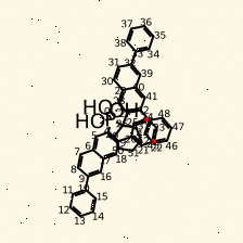 OP(O)(O)(c1cc2ccc(-c3ccccc3)cc2cc1-c1ccccc1)C1(c2cc3ccc(-c4ccccc4)cc3cc2-c2ccccc2)CCCCC1